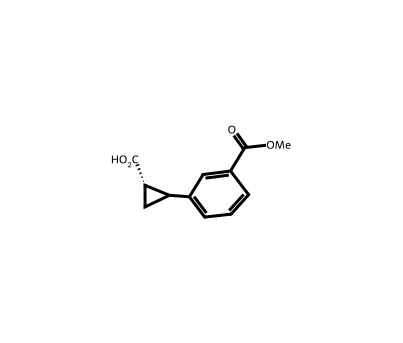 COC(=O)c1cccc(C2C[C@@H]2C(=O)O)c1